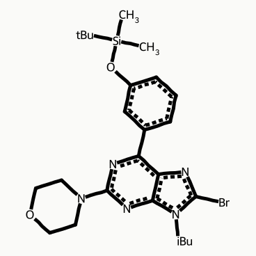 CCC(C)n1c(Br)nc2c(-c3cccc(O[Si](C)(C)C(C)(C)C)c3)nc(N3CCOCC3)nc21